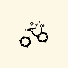 CCO[P@@](C)(=O)[C@@H](c1ccccc1)c1ccccc1O